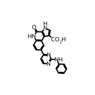 O=C(O)c1c[nH]c2c(=O)[nH]c3ccc(-c4ccnc(Nc5ccccc5)n4)cc3c12